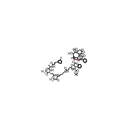 CC(=O)O[C@@]12CO[C@@H]1C[C@H](O)[C@@]1(C)C(=O)[C@H](O)C3=C(C)[C@@H](OC(=O)[C@H](OC(=O)CCC(=O)NCCCCC(NC(=O)CC[C@H](NC(=O)C(C)NC(=O)/C=C/c4cccc(F)c4)C(N)=O)C(N)=O)[C@H](NC(=O)OC(C)(C)C)c4ccccc4)C[C@@](O)([C@@H](OC(=O)c4ccccc4)[C@H]21)C3(C)C